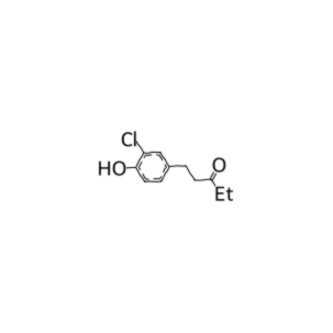 CCC(=O)CCc1ccc(O)c(Cl)c1